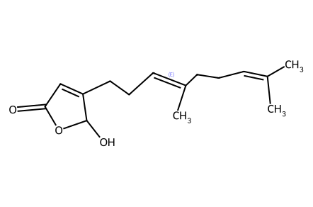 CC(C)=CCC/C(C)=C/CCC1=CC(=O)OC1O